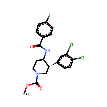 CC(C)(C)OC(=O)N1CCC(NC(=O)c2ccc(Cl)cc2)[C@H](c2ccc(Cl)c(Cl)c2)C1